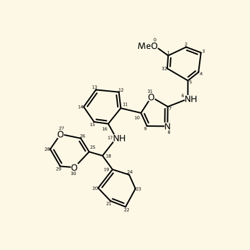 COc1cccc(Nc2ncc(-c3ccccc3NC(C3=CC=CCC3)C3=COC=CO3)o2)c1